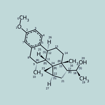 COc1ccc2c(c1)C[C@@H](C)[C@@H]1[C@@H]2CC[C@]2(C)[C@H]([C@H](C)O)C[C@H]3C[C@@]312